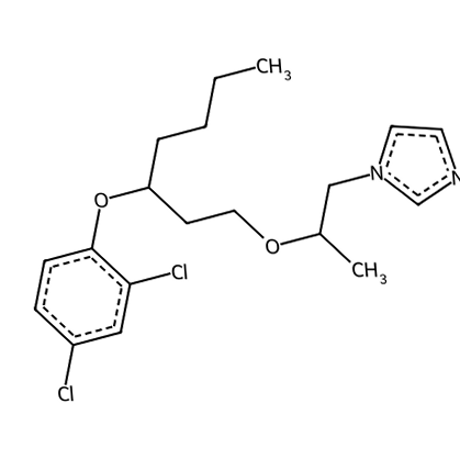 CCCCC(CCOC(C)Cn1ccnc1)Oc1ccc(Cl)cc1Cl